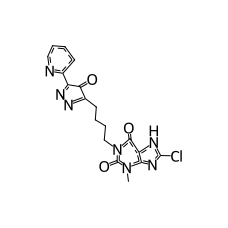 Cn1c(=O)n(CCCCC2=NN=C(c3ccccn3)C2=O)c(=O)c2[nH]c(Cl)nc21